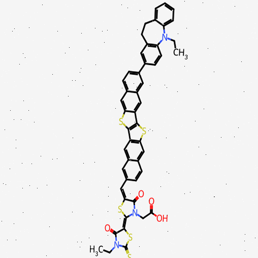 CCN1C(=O)/C(=c2\s/c(=C/c3ccc4cc5sc6c7cc8cc(-c9ccc%10c(c9)CCc9ccccc9N%10CC)ccc8cc7sc6c5cc4c3)c(=O)n2CC(=O)O)SC1=S